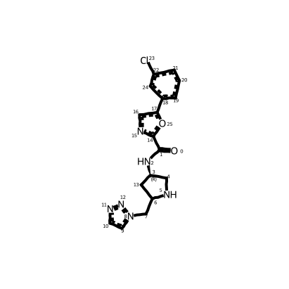 O=C(N[C@H]1CNC(Cn2ccnn2)C1)c1ncc(-c2cccc(Cl)c2)o1